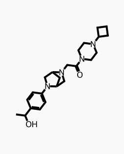 CC(O)c1ccc(N2CC3CC2CN3CC(=O)N2CCN(C3CCC3)CC2)cc1